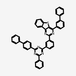 c1ccc(-c2ccc(-c3nc(-c4ccccc4)nc(-c4cccc(-c5nc(-c6cccc(-c7ccccc7)c6)c6sc7ccccc7c6n5)c4)n3)cc2)cc1